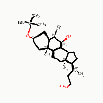 CC[C@@H]1C2C[C@H](O[Si](C)(C)C(C)(C)C)CC[C@]2(C)C2CC[C@@]3(C)C(CCC3[C@H](C)CCO)C2[C@@H]1O